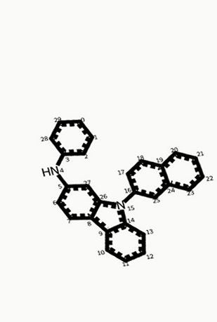 c1ccc(Nc2ccc3c4ccccc4n(-c4ccc5ccccc5c4)c3c2)cc1